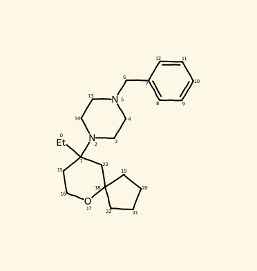 CCC1(N2CCN(Cc3ccccc3)CC2)CCOC2(CCCC2)C1